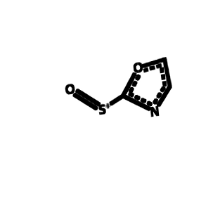 O=[S+]c1ncco1